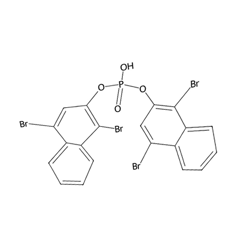 O=P(O)(Oc1cc(Br)c2ccccc2c1Br)Oc1cc(Br)c2ccccc2c1Br